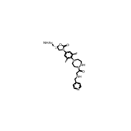 CC(=O)NC[C@H]1CN(c2cc(F)c(N3CCNN(C(=O)CNCc4ccncc4)CC3)c(F)c2)C(=O)O1